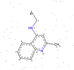 Cc1cc(NCC(C)C)c2ccccc2n1